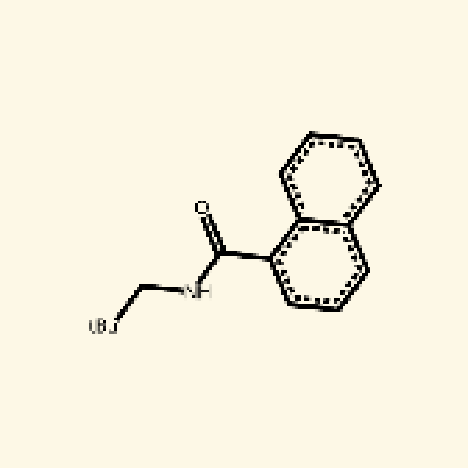 CC(C)(C)CNC(=O)c1cccc2ccccc12